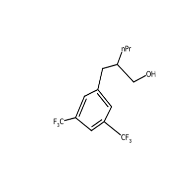 CCCC(CO)Cc1cc(C(F)(F)F)cc(C(F)(F)F)c1